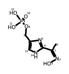 C/C(=N/O)c1nc(COP(=O)(O)O)c[nH]1